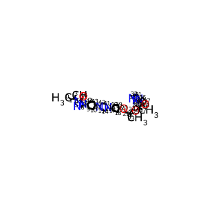 CCC(C)n1ncn(-c2ccc(N3CCN(c4ccc(OCC(C)COC(C)(Cn5nccn5)C5CCCO5)cc4)CC3)cc2)c1=O